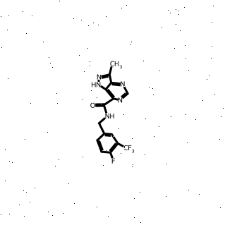 Cc1n[nH]c2c(C(=O)NCc3ccc(F)c(C(F)(F)F)c3)ncnc12